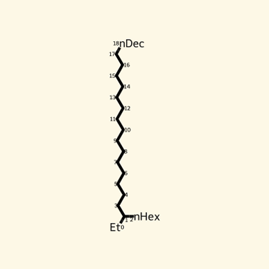 [CH2]CC(CCCCCC)CCCCCCCCCCCCCCCCCCCCCCCCC